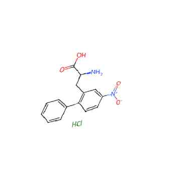 Cl.N[C@@H](Cc1cc([N+](=O)[O-])ccc1-c1ccccc1)C(=O)O